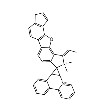 C/C=C1/c2c(ccc3c2oc2c4c(ccc23)CC=C4)C2(C3c4ccccc4-c4cccc[n+]4C32)[N+]1(C)C